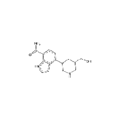 NC(=O)c1ccc(C2CNCC(CO)C2)c2cc[nH]c12